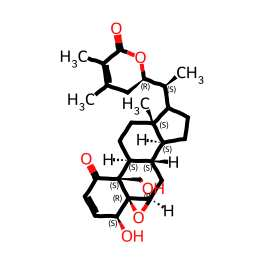 CC1=C(C)C(=O)O[C@@H]([C@@H](C)C2CC[C@H]3[C@@H]4C[C@H]5O[C@]56[C@@H](O)C=CC(=O)[C@]6(CO)[C@H]4CC[C@]23C)C1